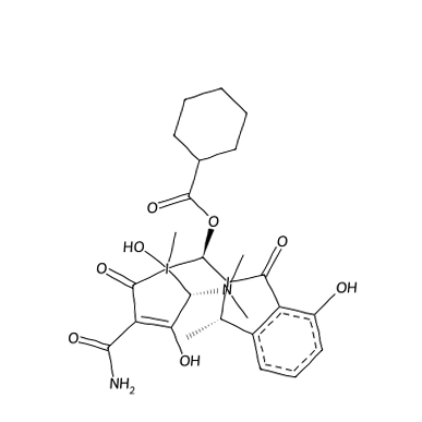 C[C@H]1c2cccc(O)c2C(=O)I1[C@H](OC(=O)C1CCCCC1)I1(C)(O)C(=O)C(C(N)=O)=C(O)[C@H]1N(C)C